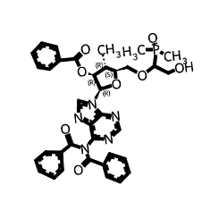 C[C@H]1[C@@H](OC(=O)c2ccccc2)[C@H](n2cnc3c(N(C(=O)c4ccccc4)C(=O)c4ccccc4)ncnc32)O[C@@H]1COC(CO)P(C)(C)=O